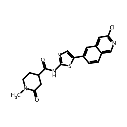 CN1CCC(C(=O)Nc2ncc(-c3ccc4cnc(Cl)cc4c3)s2)CC1=O